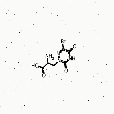 NC(Cn1nc(Br)c(=O)[nH]c1=O)C(=O)O